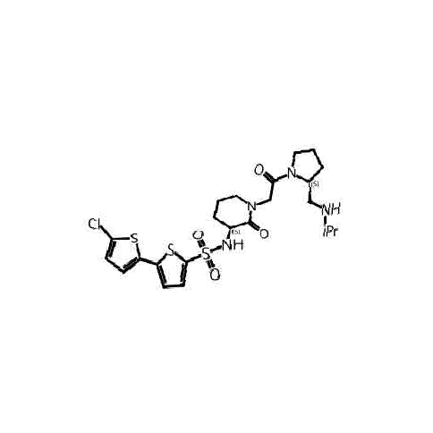 CC(C)NC[C@@H]1CCCN1C(=O)CN1CCC[C@H](NS(=O)(=O)c2ccc(-c3ccc(Cl)s3)s2)C1=O